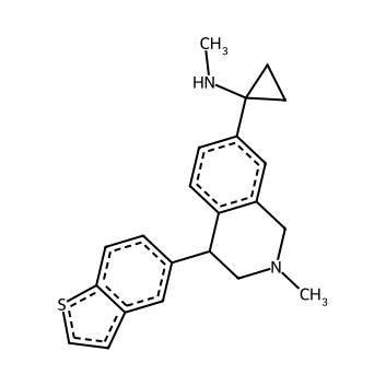 CNC1(c2ccc3c(c2)CN(C)CC3c2ccc3sccc3c2)CC1